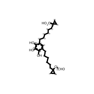 O=COC1(CCCCCCc2cc(CCCCCCC3(C(=O)O)CC3)c(O)c(O)c2O)CC1